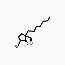 CCCCCCCC1(C=O)CCC(Br)C1=O